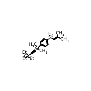 C[CH2][Ge]([C]#C[Si](C)(C)c1ccc([SiH2]C=C(C)C)cc1)([CH2]C)[CH2]C